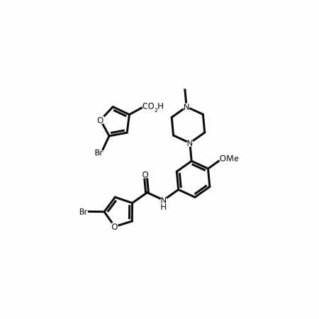 COc1ccc(NC(=O)c2coc(Br)c2)cc1N1CCN(C)CC1.O=C(O)c1coc(Br)c1